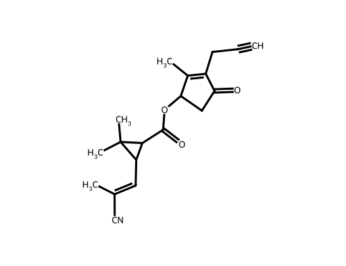 C#CCC1=C(C)C(OC(=O)C2C(C=C(C)C#N)C2(C)C)CC1=O